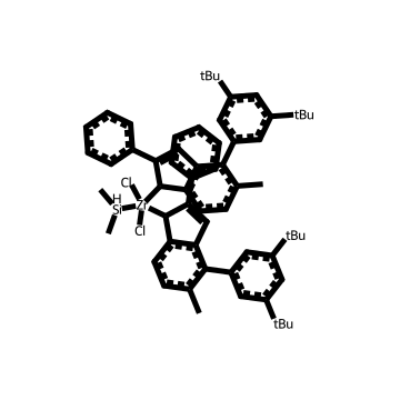 Cc1ccc2c(c1-c1cc(C(C)(C)C)cc(C(C)(C)C)c1)C=C(c1ccccc1)[CH]2[Zr]([Cl])([Cl])([CH]1C(c2ccccc2)=Cc2c1ccc(C)c2-c1cc(C(C)(C)C)cc(C(C)(C)C)c1)[SiH](C)C